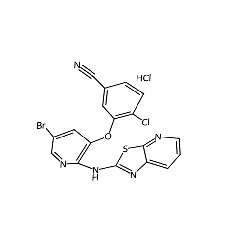 Cl.N#Cc1ccc(Cl)c(Oc2cc(Br)cnc2Nc2nc3cccnc3s2)c1